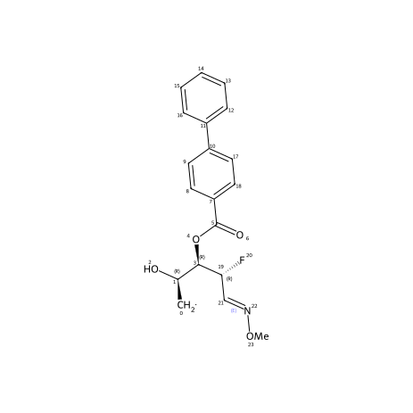 [CH2][C@@H](O)[C@@H](OC(=O)c1ccc(-c2ccccc2)cc1)[C@H](F)/C=N/OC